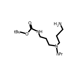 CCCN(CCCN)CCCNC(=O)OC(C)(C)C